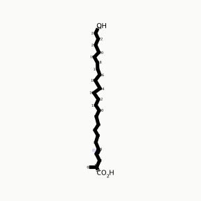 CC(C/C=C/CCCCCCCCCCCCCCCCCCCO)C(=O)O